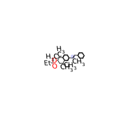 CCC(=O)OC1CC(C)(C)c2cc(/C(C)=C/c3ccccc3)ccc2C1(C)C